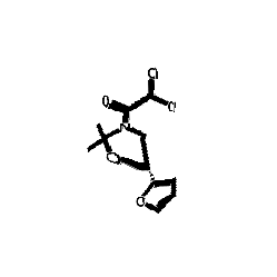 CC1(C)O[C@@H](c2ccco2)CN1C(=O)C(Cl)Cl